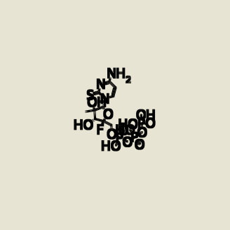 CC1(O)[C@@H](O)[C@@](F)(COP(=O)(O)OP(=O)(O)OP(=O)(O)O)O[C@H]1n1ccc(N)nc1=S